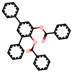 O=C(Oc1cc(-c2ccccc2)cc(-c2ccccc2)c1OC(=O)c1ccccc1)c1ccccc1